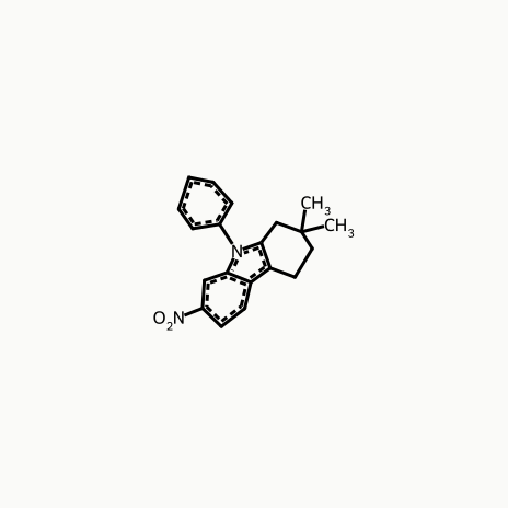 CC1(C)CCc2c(n(-c3ccccc3)c3cc([N+](=O)[O-])ccc23)C1